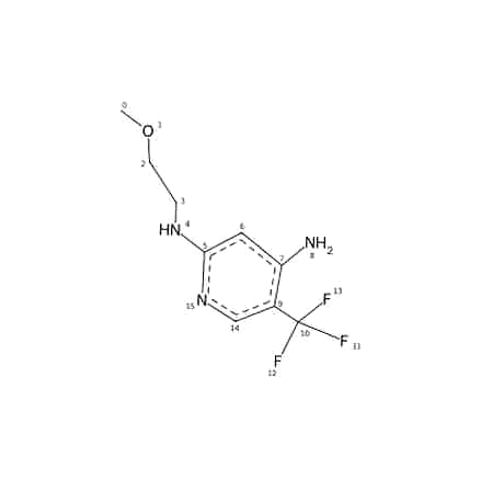 COCCNc1cc(N)c(C(F)(F)F)cn1